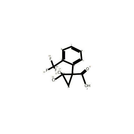 O=C(O)C1(c2ccccc2C(F)(F)F)CC1(Cl)Cl